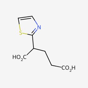 O=C(O)CCC(C(=O)O)c1nccs1